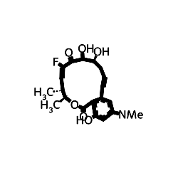 CNc1cc(O)c2c(c1)/C=C/C[C@H](O)C(O)C(=O)/C(F)=C\[C@@H](C)[C@H](C)OC2=O